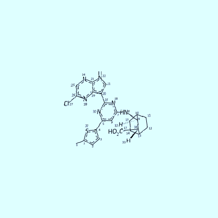 Cc1ccc(-c2cc(N[C@H]3C4CCC(CC4)[C@@H]3C(=O)O)nc(-c3c[nH]c4ncc(Cl)nc34)n2)s1